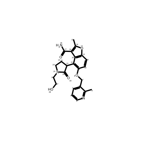 Cc1ncccc1COc1ccc2oc(C)c(C(N)=O)c2c1C1CCN(CCO)C1=O